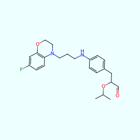 CC(C)OC(C=O)Cc1ccc(NCCCN2CCOc3cc(F)ccc32)cc1